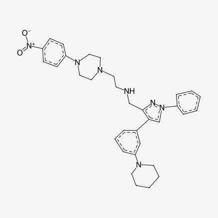 O=[N+]([O-])c1ccc(N2CCN(CCNCc3nn(-c4ccccc4)cc3-c3cccc(N4CCCCC4)c3)CC2)cc1